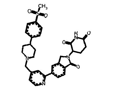 CS(=O)(=O)c1ccc(C2CCN(Cc3ccnc(-c4ccc5c(c4)CN(C4CCC(=O)NC4=O)C5=O)c3)CC2)cc1